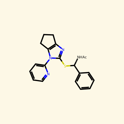 CC(=O)NC(Sc1nc2c(n1-c1ccccn1)CCC2)c1ccccc1